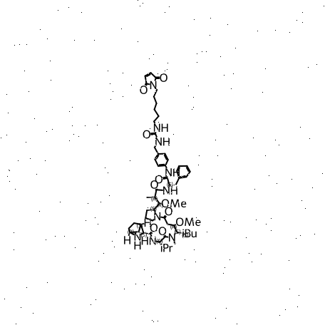 CC[C@H](C)[C@@H]([C@@H](CC(=O)N1CCC[C@H]1[C@H](OC)[C@@H](C)C(=O)N[C@@H](Cc1ccccc1)C(=O)Nc1ccc(CNC(=O)NCCCCCCN2C(=O)C=CC2=O)cc1)OC)N(C)C(=O)[C@@H](NC(=O)[C@H]1N[C@@H]2CC[C@H]1C2)C(C)C